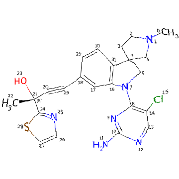 CN1CCC2(C1)CN(c1nc(N)ncc1Cl)c1cc(C#C[C@@](C)(O)c3nccs3)ccc12